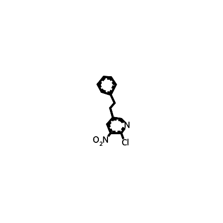 O=[N+]([O-])c1cc(CCc2ccccc2)cnc1Cl